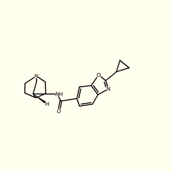 O=C(N[C@H]1CN2CCC1CC2)c1ccc2nc(C3CC3)oc2c1